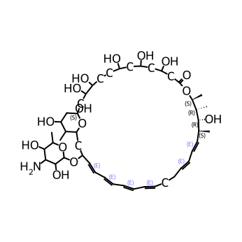 CC1OC(OC2/C=C/C=C/C=C/C=C/CC/C=C/C=C/[C@H](C)[C@@H](O)[C@@H](C)[C@H](C)OC(=O)CC(O)CC(O)CC(O)CCC(O)C(O)C[C@]3(O)CC(O)C(C)C(C2)O3)C(O)C(N)C1O